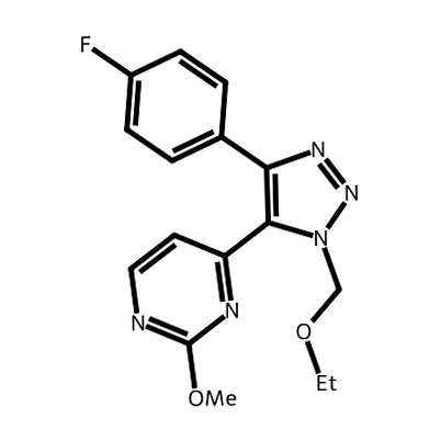 CCOCn1nnc(-c2ccc(F)cc2)c1-c1ccnc(OC)n1